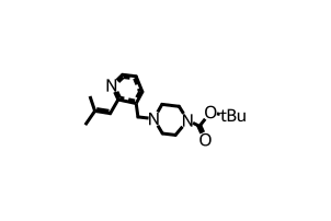 CC(C)=Cc1ncccc1CN1CCN(C(=O)OC(C)(C)C)CC1